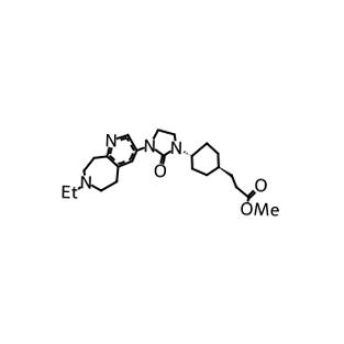 CCN1CCc2cc(N3CCN([C@H]4CC[C@H](CCC(=O)OC)CC4)C3=O)cnc2CC1